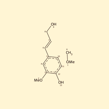 COC.COc1cc(C=CCO)ccc1O